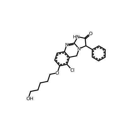 O=C1NC2=Nc3ccc(OCCCCCO)c(Cl)c3CN2C1c1ccccc1